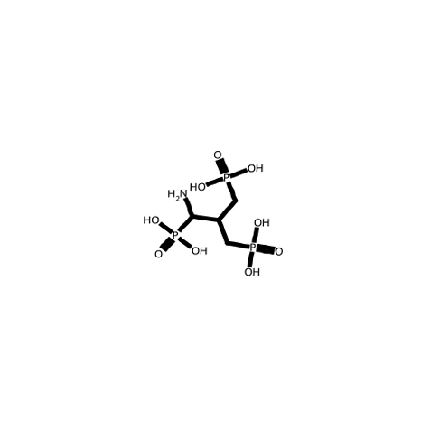 NC(C(CP(=O)(O)O)CP(=O)(O)O)P(=O)(O)O